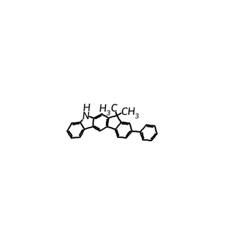 CC1(C)c2cc(-c3ccccc3)ccc2-c2cc3c(cc21)[nH]c1ccccc13